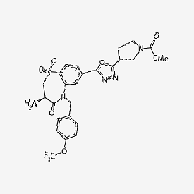 COC(=O)N1CCC(c2nnc(-c3ccc4c(c3)N(Cc3ccc(OC(F)(F)F)cc3)C(=O)[C@@H](N)CS4(=O)=O)o2)C1